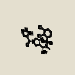 CCC[C@H]([C@H]1CN(C(=O)c2cnn[nH]2)C[C@H]1C)N(C)S(=O)(=O)c1cccc(Cl)c1Cl